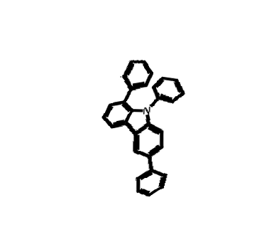 [c]1ccccc1-c1cccc2c3cc(-c4ccccc4)ccc3n(-c3ccccc3)c12